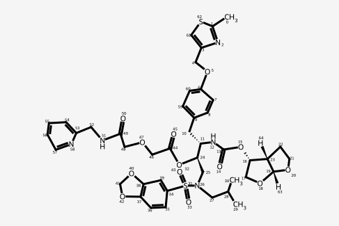 Cc1nc(COc2ccc(C[C@H](NC(=O)O[C@H]3CO[C@H]4OCC[C@H]43)[C@@H](CN(CC(C)C)S(=O)(=O)c3ccc4c(c3)OCO4)OC(=O)COCC(=O)NCc3ccccn3)cc2)cs1